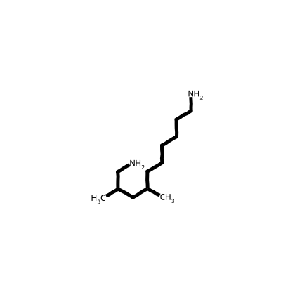 CC(CN)CC(C)CCCCCCN